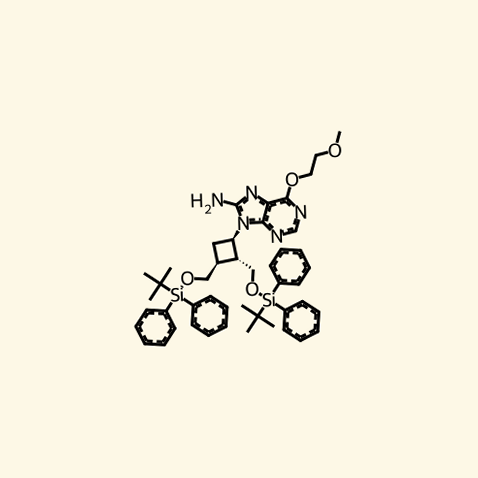 COCCOc1ncnc2c1nc(N)n2[C@@H]1C[C@H](CO[Si](c2ccccc2)(c2ccccc2)C(C)(C)C)[C@H]1CO[Si](c1ccccc1)(c1ccccc1)C(C)(C)C